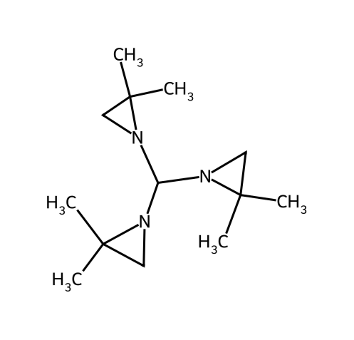 CC1(C)CN1C(N1CC1(C)C)N1CC1(C)C